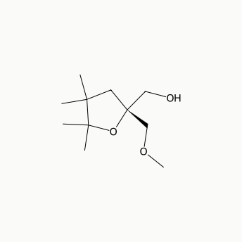 COC[C@]1(CO)CC(C)(C)C(C)(C)O1